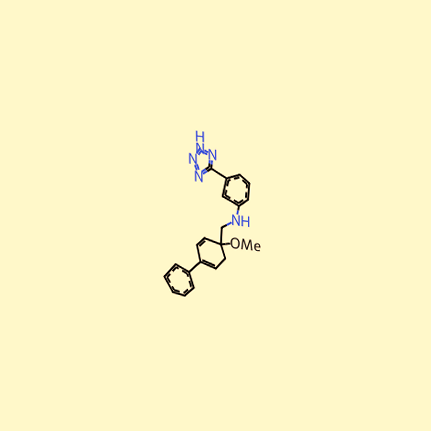 COC1(CNc2cccc(-c3nn[nH]n3)c2)C=CC(c2ccccc2)=CC1